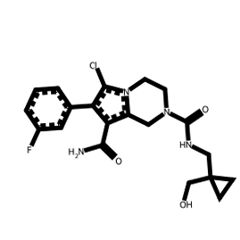 NC(=O)c1c(-c2cccc(F)c2)c(Cl)n2c1CN(C(=O)NCC1(CO)CC1)CC2